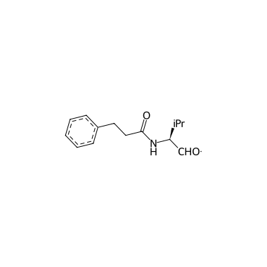 CC(C)[C@@H]([C]=O)NC(=O)CCc1ccccc1